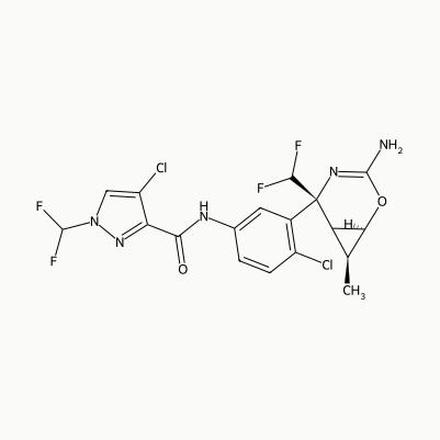 C[C@H]1C2[C@H]1OC(N)=N[C@]2(c1cc(NC(=O)c2nn(C(F)F)cc2Cl)ccc1Cl)C(F)F